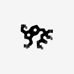 CCC1OC(CC)C2C3OC(CC3CC(C)(O)CC(=O)OC)C12